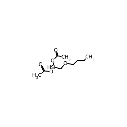 CCCCOC[SiH](OC(C)=O)OC(C)=O